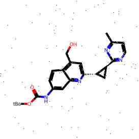 Cc1ccnc([C@H]2C[C@@H]2c2cc(CO)c3ccc(NC(=O)OC(C)(C)C)cc3n2)n1